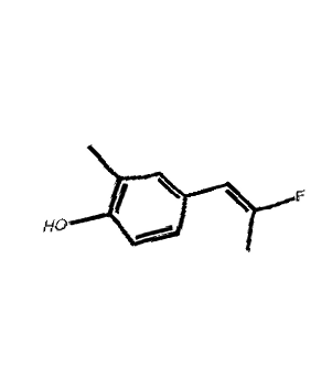 C/C(F)=C\c1ccc(O)c(C)c1